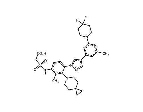 Cc1cc(-c2cnn(-c3ccc(NS(=O)(=O)CC(=O)O)c(C)c3N3CCC4(CC3)CC4)c2)nc(N2CCC(F)(F)CC2)n1